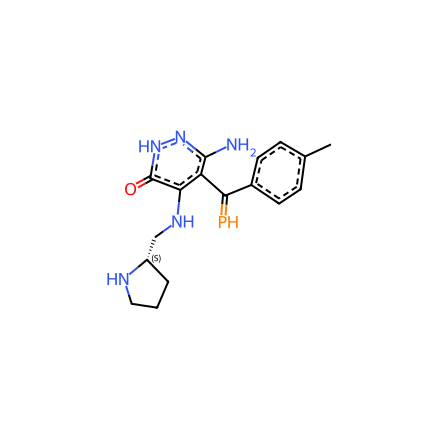 Cc1ccc(C(=P)c2c(N)n[nH]c(=O)c2NC[C@@H]2CCCN2)cc1